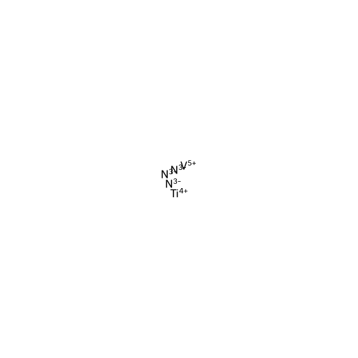 [N-3].[N-3].[N-3].[Ti+4].[V+5]